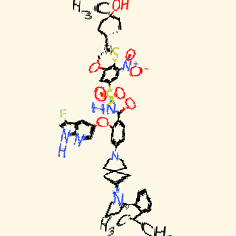 CC(C)c1ccccc1[C@H]1CCCN1C1CC2(CCN(c3ccc(C(=O)NS(=O)(=O)c4cc5c(c([N+](=O)[O-])c4)S[C@@H]([C@H]4CC[C@](C)(O)CC4)CO5)c(Oc4cnc5[nH]cc(F)c5c4)c3)CC2)C1